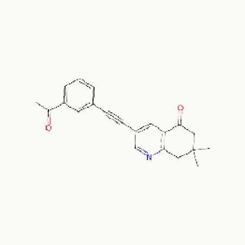 CC(=O)c1cccc(C#Cc2cnc3c(c2)C(=O)CC(C)(C)C3)c1